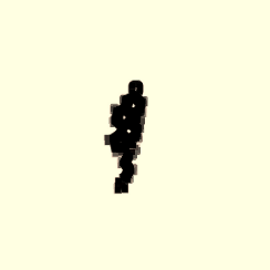 C[C@]12CCC(=O)C=C1C=CC1C2CC[C@@]2(C)C1CC[C@@H]2CCCC#N